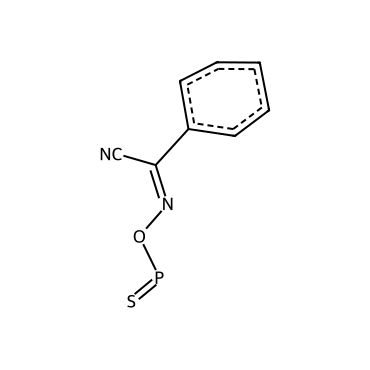 N#CC(=NOP=S)c1ccccc1